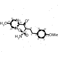 COc1ccc(CCC(C(=O)c2ncc(C)cn2)S(N)(=O)=O)cc1